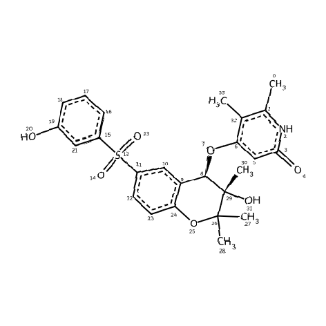 Cc1[nH]c(=O)cc(O[C@@H]2c3cc(S(=O)(=O)c4cccc(O)c4)ccc3OC(C)(C)[C@@]2(C)O)c1C